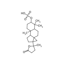 CC1(C)C(OS(=O)(=O)O)CCC2(C)C1CCC13CC1(C1(C)CCC(=O)O1)CCC23